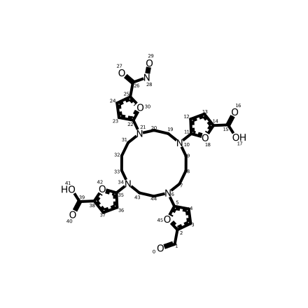 O=Cc1ccc(N2CCCN(c3ccc(C(=O)O)o3)CCN(c3ccc(C(=O)N=O)o3)CCCN(c3ccc(C(=O)O)o3)CC2)o1